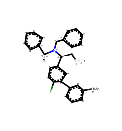 CCOC(=O)C[C@@H](c1ccc(F)c(-c2cccc(OC)c2)c1)N(Cc1ccccc1)[C@H](C)c1ccccc1